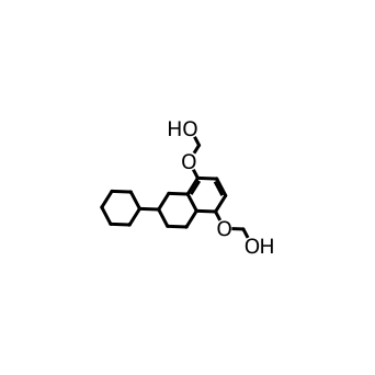 OCOC1=C2CC(C3CCCCC3)CCC2C(OCO)C=C1